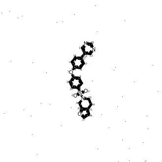 O=S(=O)(c1ccc(Oc2ccc(-c3cncnc3)cc2)cc1)N1CCc2ccoc2C1